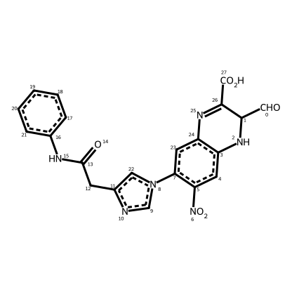 O=CC1Nc2cc([N+](=O)[O-])c(-n3cnc(CC(=O)Nc4ccccc4)c3)cc2N=C1C(=O)O